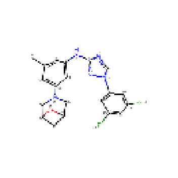 Cc1cc(Nc2ncn(-c3cc(F)cc(F)c3)n2)cc(N2CC3CC(C2)O3)c1